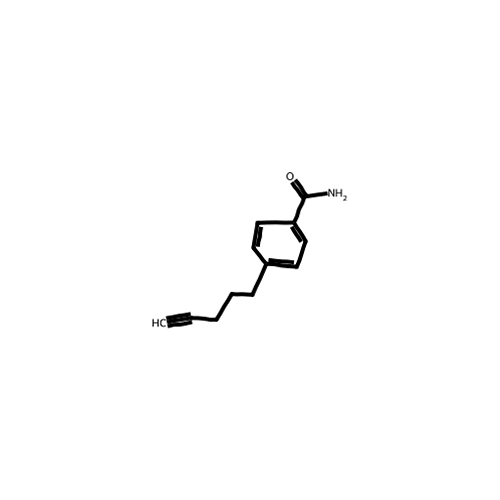 C#CCCCc1ccc(C(N)=O)cc1